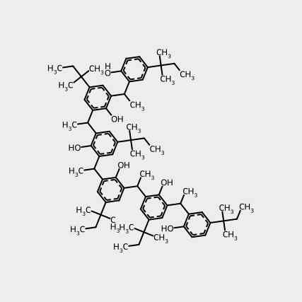 CCC(C)(C)c1ccc(O)c(C(C)c2cc(C(C)(C)CC)cc(C(C)c3cc(C(C)(C)CC)cc(C(C)c4cc(C(C)(C)CC)cc(C(C)c5cc(C(C)(C)CC)cc(C(C)c6cc(C(C)(C)CC)ccc6O)c5O)c4O)c3O)c2O)c1